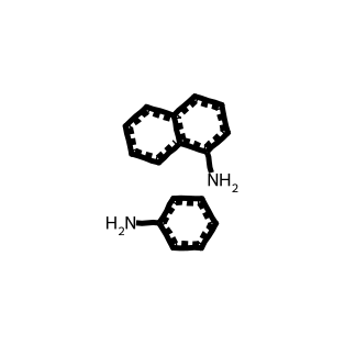 Nc1cccc2ccccc12.Nc1ccccc1